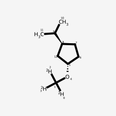 [2H]C([2H])([2H])O[C@H]1CC[C@H](C(C)C)C1